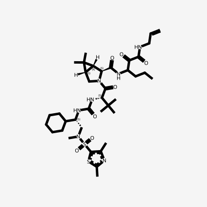 C=CCNC(=O)C(=O)C(CCC)NC(=O)[C@@H]1[C@@H]2[C@H](CN1C(=O)[C@@H](NC(=O)N[C@H](CN(C)S(=O)(=O)c1sc(C)nc1C)C1CCCCC1)C(C)(C)C)C2(C)C